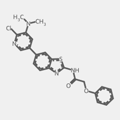 CN(C)c1cc(-c2ccc3nc(NC(=O)COc4ccccc4)sc3c2)cnc1Cl